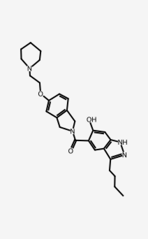 CCCCc1n[nH]c2cc(O)c(C(=O)N3Cc4ccc(OCCN5CCCCC5)cc4C3)cc12